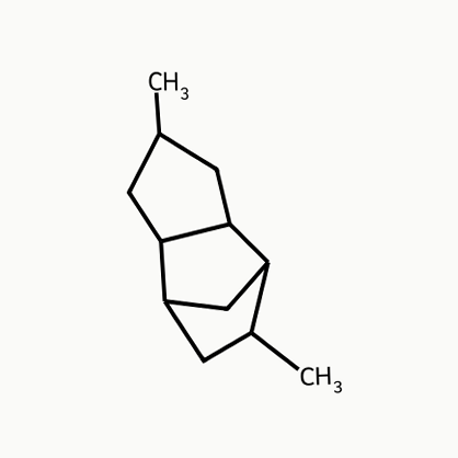 CC1CC2C3CC(C)C(C3)C2C1